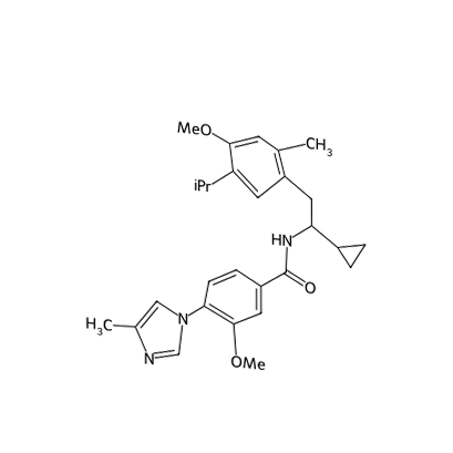 COc1cc(C)c(CC(NC(=O)c2ccc(-n3cnc(C)c3)c(OC)c2)C2CC2)cc1C(C)C